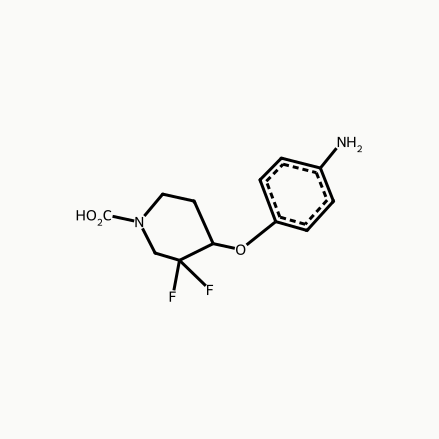 Nc1ccc(OC2CCN(C(=O)O)CC2(F)F)cc1